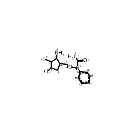 CC(=O)N(OCC1CC(Cl)C(Cl)C1N)c1ccccc1